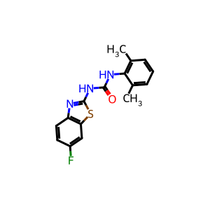 Cc1cccc(C)c1NC(=O)Nc1nc2ccc(F)cc2s1